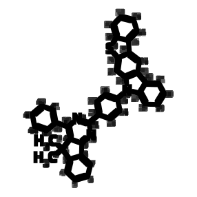 CC1(C)c2ccccc2-c2nc(-c3ccc(-n4c5ccccc5c5cc6c(cc54)sc4ccccc46)cc3)nc(-c3ccccc3)c21